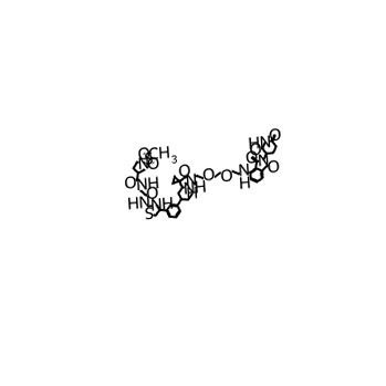 CS(=O)(=O)N1CCC(C(=O)NCC(=O)NC2NC(c3cccc(C4CCNC(C5(C(=O)NCCOCCOCCNc6cccc7c6C(=O)N(C6CCC(=O)NC6=O)C7=O)CC5)C4)c3)CS2)C1